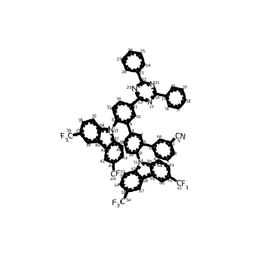 N#Cc1cccc(-c2cc(-c3cc(-c4nc(-c5ccccc5)nc(-c5ccccc5)n4)ccc3-n3c4ccc(C(F)(F)F)cc4c4cc(C(F)(F)F)ccc43)ccc2-n2c3ccc(C(F)(F)F)cc3c3cc(C(F)(F)F)ccc32)c1